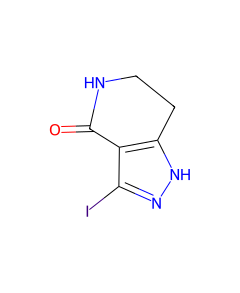 O=C1NCCc2[nH]nc(I)c21